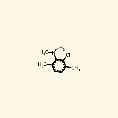 Cc1ccc(C)c(N(C)C)c1Cl